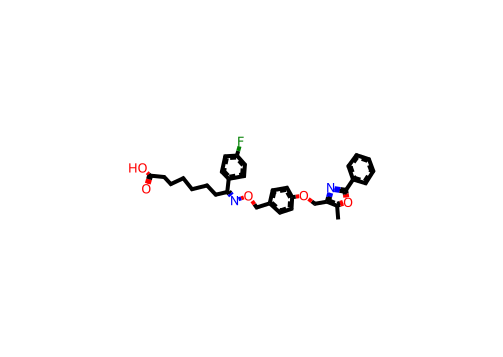 Cc1oc(-c2ccccc2)nc1COc1ccc(CON=C(CCCCCCC(=O)O)c2ccc(F)cc2)cc1